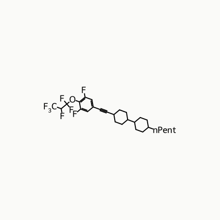 CCCCCC1CCC(C2CCC(C#Cc3cc(F)c(OC(F)(F)C(F)C(F)(F)F)c(F)c3)CC2)CC1